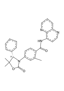 Cc1cc(N2C(=O)OC(C)(C)[C@@H]2c2ccccc2)ccc1C(=O)Nc1ccnc2cccnc12